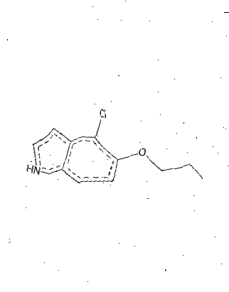 CCCOc1ccc2[nH]ccc2c1Cl